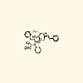 CC(C)C[C@H](NC(=O)OCc1ccccc1)C(=O)N[C@@H](Cc1ccccc1)C(=O)N(C1CCCCC1)[C@@H](C)C=O